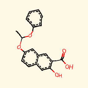 CC(Oc1ccccc1)Oc1ccc2cc(O)c(C(=O)O)cc2c1